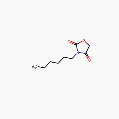 CCCCCCN1C(=O)COC1=O